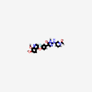 COc1ccc2c(Oc3ccc(-c4cnc(NC5CCCN(C(C)=O)C5)n(C)c4=O)cc3F)ccnc2c1OC